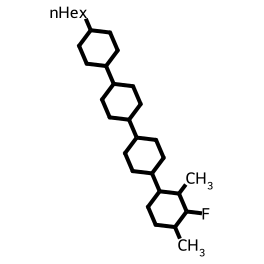 CCCCCCC1CCC(C2CCC(C3CCC(C4CCC(C)C(F)C4C)CC3)CC2)CC1